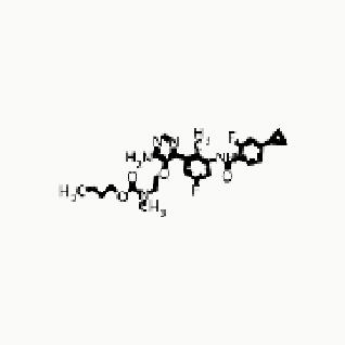 CCCCOC(=O)N(C)CCOc1c(N)ncnc1-c1cc(F)cc(NC(=O)c2ccc(C3CC3)cc2F)c1C